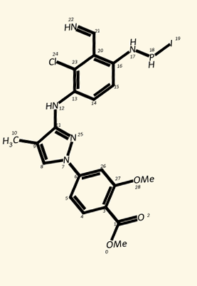 COC(=O)c1ccc(-n2cc(C)c(Nc3ccc(NPI)c(C=N)c3Cl)n2)cc1OC